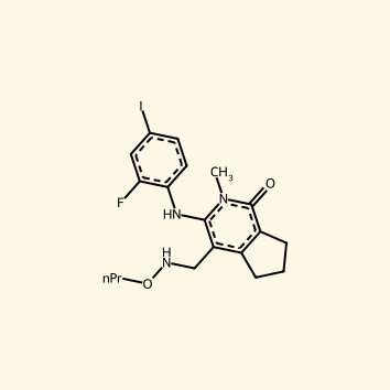 CCCONCc1c2c(c(=O)n(C)c1Nc1ccc(I)cc1F)CCC2